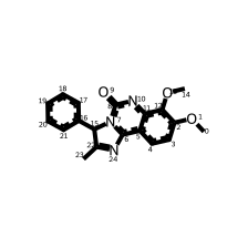 COc1ccc2c3n(c(=O)nc2c1OC)C(c1ccccc1)C(C)=N3